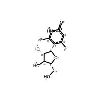 O=c1cc(F)c([C@@H]2O[C@H](CO)C(O)[C@@H]2O)c(F)[nH]1